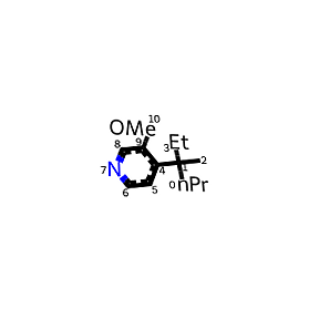 CCCC(C)(CC)c1ccncc1OC